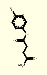 COC(=O)CCC(=O)Oc1ccc(F)cc1